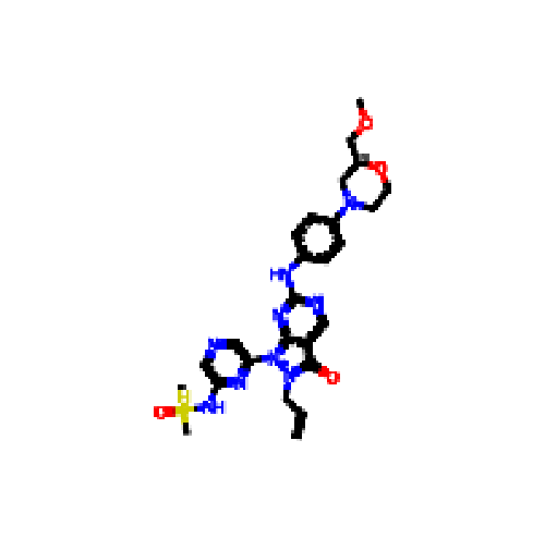 C=CCn1c(=O)c2cnc(Nc3ccc(N4CCO[C@H](COC)C4)cc3)nc2n1-c1cncc(N[SH](C)(C)=O)n1